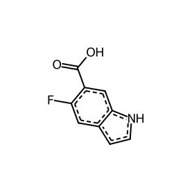 O=C(O)c1cc2[nH]ccc2cc1F